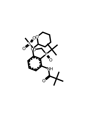 CC(C)(C)C(=O)Nc1cccc(OC2CCCCO2)c1P(=O)(COS(C)(=O)=O)C(C)(C)C